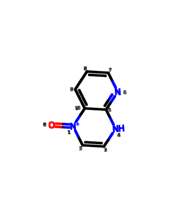 O=[n+]1cc[nH]c2ncccc21